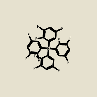 Fc1cc(F)c(F)c([B-](c2cc(F)cc(F)c2F)(c2cc(F)cc(F)c2F)c2cc(F)cc(F)c2F)c1